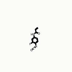 C=CC(=O)Nc1ccc(N=C=O)c(F)c1